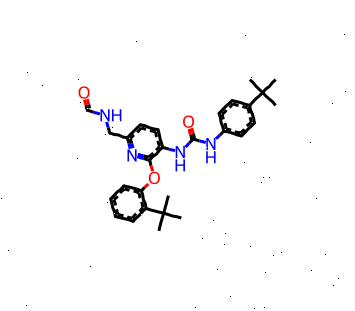 CC(C)(C)c1ccc(NC(=O)Nc2ccc(CNC=O)nc2Oc2ccccc2C(C)(C)C)cc1